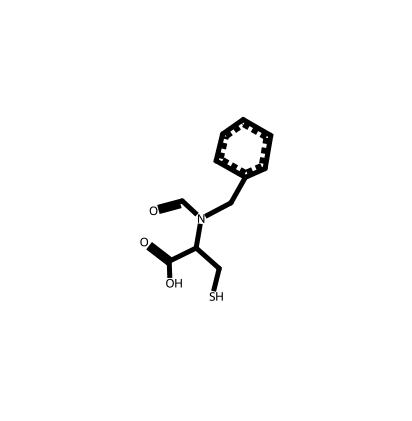 O=CN(Cc1ccccc1)C(CS)C(=O)O